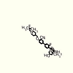 CC(C)(F)CN1CCC(COc2ccc(-c3ccc(C(=O)N4C[C@H](O)C[C@@]4(C)C(N)=O)c(F)c3)cc2C#N)CC1